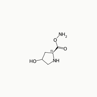 NOC(=O)[C@@H]1CC(O)CN1